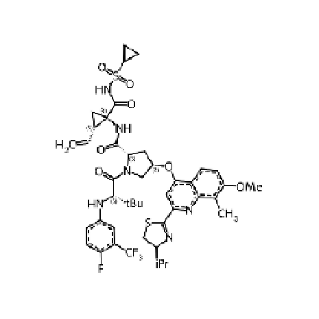 C=C[C@@H]1C[C@]1(NC(=O)[C@@H]1C[C@@H](Oc2cc(C3=NC(C(C)C)CS3)nc3c(C)c(OC)ccc23)CN1C(=O)[C@@H](Nc1ccc(F)c(C(F)(F)F)c1)C(C)(C)C)C(=O)NS(=O)(=O)C1CC1